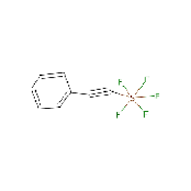 FS(F)(F)(F)(F)C#Cc1ccccc1